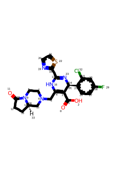 O=C(O)C1=C(CN2CCN3C(=O)CC[C@@H]3C2)NC(c2nccs2)=N[C@H]1c1ccc(F)cc1Cl